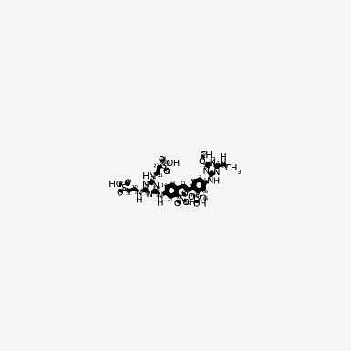 CNc1nc(Nc2ccc(C=Cc3ccc(Nc4nc(NCCS(=O)(=O)O)nc(NCCS(=O)(=O)O)n4)cc3S(=O)(=O)O)c(S(=O)(=O)O)c2)nc(OC)n1